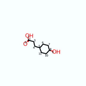 O=C(O)CCC1CCC(O)CC1